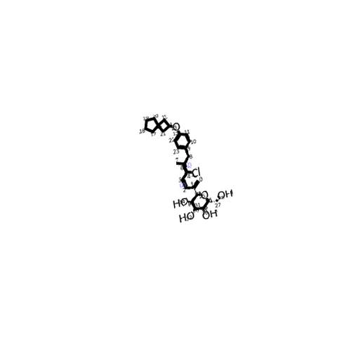 C=C(/C=C\C(Cl)=C(/C)Cc1ccc(OC2CC3(CCCC3)C2)cc1)[C@@H]1O[C@H](CO)[C@@H](O)[C@H](O)[C@H]1O